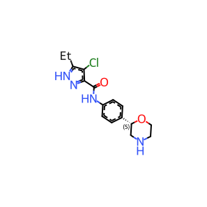 CCc1[nH]nc(C(=O)Nc2ccc([C@H]3CNCCO3)cc2)c1Cl